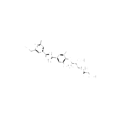 COc1cc(-c2noc(-c3cc(C)nc(CC(C)C)c3)n2)cc(C)c1OC[C@H](O)CNC(=O)CO